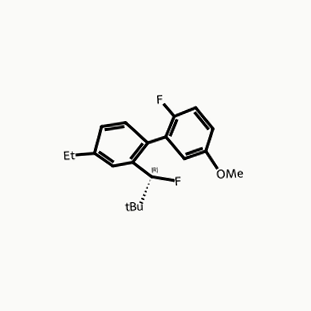 CCc1ccc(-c2cc(OC)ccc2F)c([C@H](F)C(C)(C)C)c1